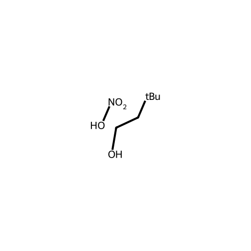 CC(C)(C)CCO.O=[N+]([O-])O